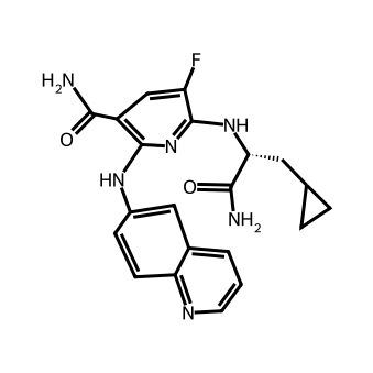 NC(=O)c1cc(F)c(N[C@H](CC2CC2)C(N)=O)nc1Nc1ccc2ncccc2c1